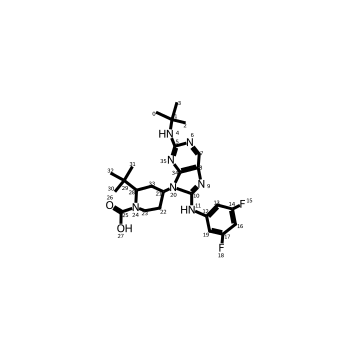 CC(C)(C)Nc1ncc2nc(Nc3cc(F)cc(F)c3)n(C3CCN(C(=O)O)C(C(C)(C)C)C3)c2n1